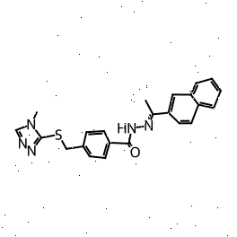 C/C(=N\NC(=O)c1ccc(CSc2nncn2C)cc1)c1ccc2ccccc2c1